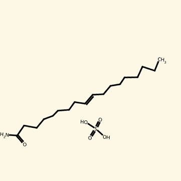 CCCCCCCCC=CCCCCCCCC(N)=O.O=S(=O)(O)O